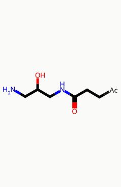 CC(=O)CCC(=O)NCC(O)CN